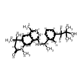 Cc1nnc(N[C@H](C)c2cccc(C(F)(F)C(C)(C)O)c2F)c2cc3c(cc12)C(C)(C)CC(=O)N3C